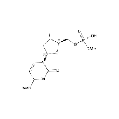 CNc1ccn([C@H]2CC(C)[C@@H](COP(=O)(O)OC)O2)c(=O)n1